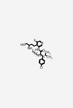 CC(C)[C@H](c1ccc(Cl)cc1)[C@@H](N=[N+]=[N-])C(=O)Nc1cncc(F)c1CCC(N)CO